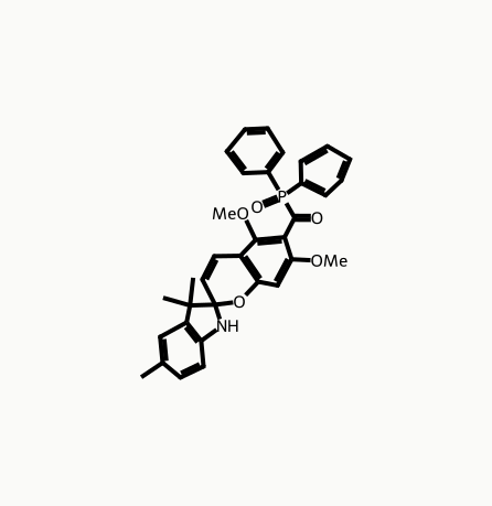 COc1cc2c(c(OC)c1C(=O)P(=O)(c1ccccc1)c1ccccc1)C=CC1(Nc3ccc(C)cc3C1(C)C)O2